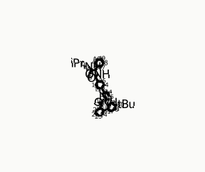 CC(C)CNC(=O)[C@@H](NC(=O)c1ccc(-c2csc(NC(=O)c3ccccc3-c3ccc(C(C)(C)C)cc3)n2)cc1)c1ccccc1